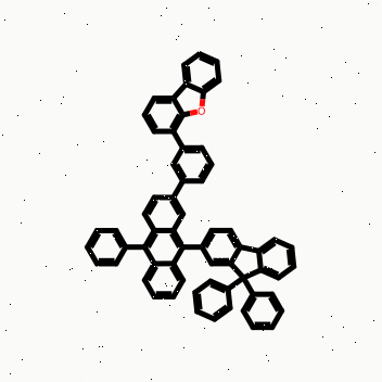 c1ccc(-c2c3ccccc3c(-c3ccc4c(c3)C(c3ccccc3)(c3ccccc3)c3ccccc3-4)c3cc(-c4cccc(-c5cccc6c5oc5ccccc56)c4)ccc23)cc1